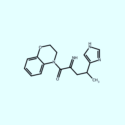 CC(CC(=N)C(=O)N1CCOc2ccccc21)c1c[nH]cn1